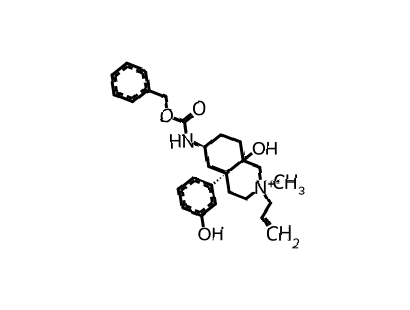 C=CC[N@@+]1(C)CC[C@@]2(c3cccc(O)c3)C[C@@H](NC(=O)OCc3ccccc3)CCC2(O)C1